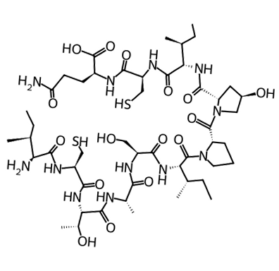 CC[C@H](C)[C@H](N)C(=O)N[C@@H](CS)C(=O)N[C@H](C(=O)N[C@@H](C)C(=O)N[C@@H](CO)C(=O)N[C@H](C(=O)N1CCC[C@H]1C(=O)N1C[C@H](O)C[C@H]1C(=O)N[C@H](C(=O)N[C@@H](CS)C(=O)N[C@@H](CCC(N)=O)C(=O)O)[C@@H](C)CC)[C@@H](C)CC)[C@@H](C)O